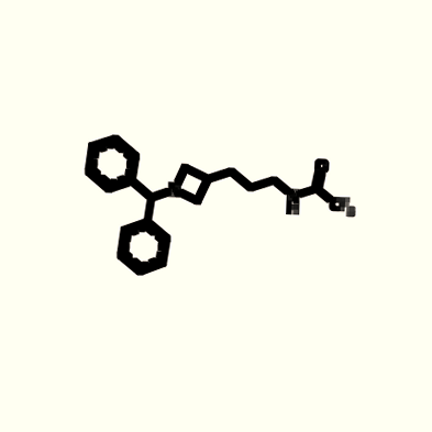 O=C(NCCCC1CN(C(c2ccccc2)c2ccccc2)C1)C(F)(F)F